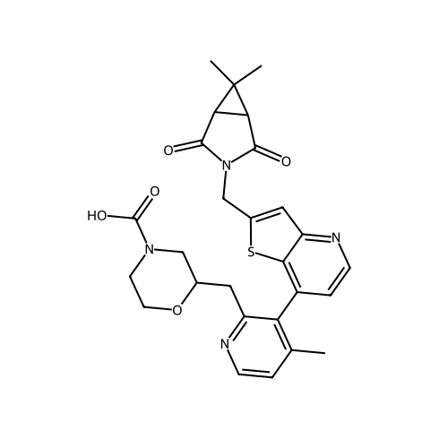 Cc1ccnc(CC2CN(C(=O)O)CCO2)c1-c1ccnc2cc(CN3C(=O)C4C(C3=O)C4(C)C)sc12